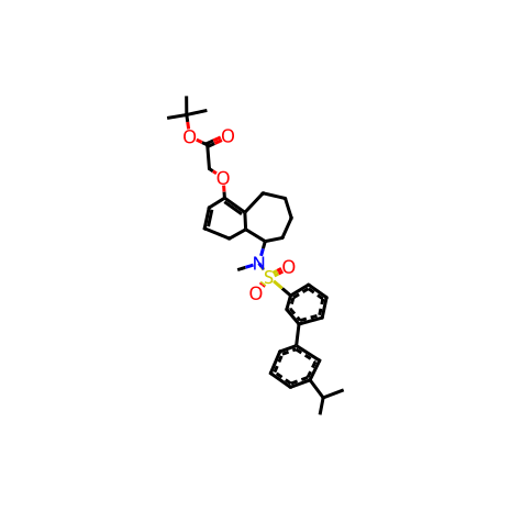 CC(C)c1cccc(-c2cccc(S(=O)(=O)N(C)C3CCCCC4=C(OCC(=O)OC(C)(C)C)C=CCC43)c2)c1